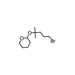 CC(C)(CCCBr)OC1CCCCO1